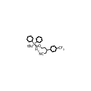 CC(C)(C)[Si]([SiH2]OCCC(CC#N)c1ccc(C(F)(F)F)cc1)(c1ccccc1)c1ccccc1